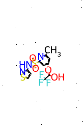 Cc1cccc(S(=O)(=O)Nc2ccsn2)n1.O=C(O)C(F)(F)F